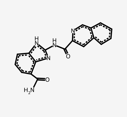 NC(=O)c1cccc2[nH]c(NC(=O)c3cc4ccccc4cn3)nc12